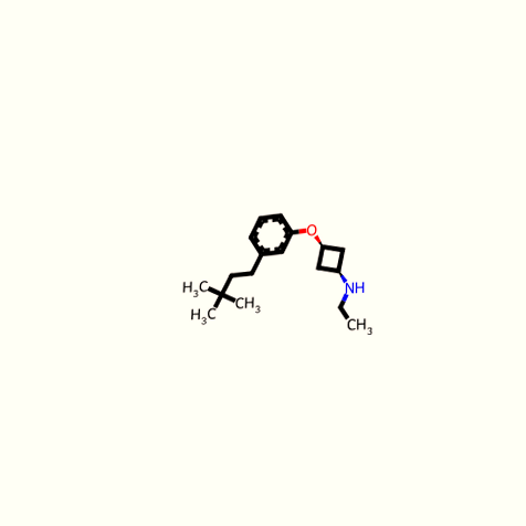 CCN[C@H]1C[C@@H](Oc2cccc(CCC(C)(C)C)c2)C1